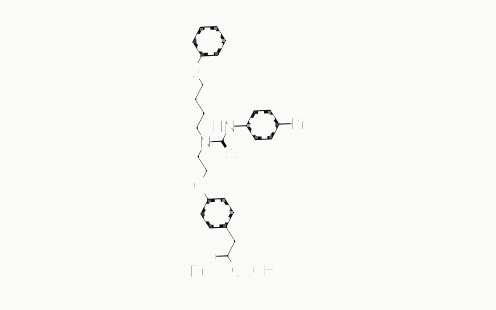 CCOC(Cc1ccc(OCCN(CCCCOc2ccccc2)C(=O)Nc2ccc(Br)cc2)cc1)C(=O)O